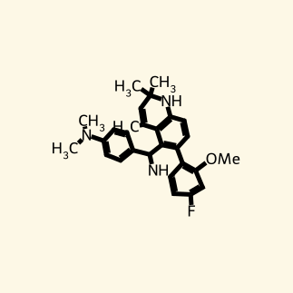 COc1cc(F)ccc1-c1ccc2c(c1C(N)c1ccc(N(C)C)cc1)C(C)=CC(C)(C)N2